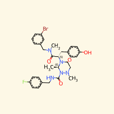 C[C@H]1N([C@@H](Cc2ccc(O)cc2)C(=O)N(C)Cc2cccc(Br)c2)C(=O)CN(C)N1C(=O)NCc1ccc(F)cc1